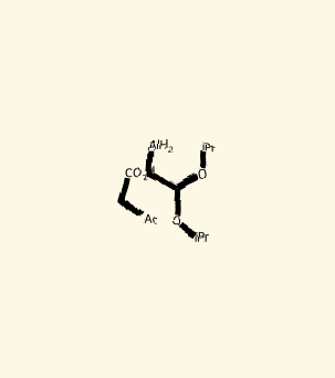 CC(=O)CC(=O)O.CC(C)OC([CH2][AlH2])OC(C)C